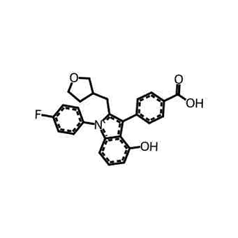 O=C(O)c1ccc(-c2c(CC3CCOC3)n(-c3ccc(F)cc3)c3cccc(O)c23)cc1